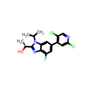 CC(C)n1c([C@H](C)O)nc2c(F)cc(-c3cc(Cl)ncc3Cl)cc21